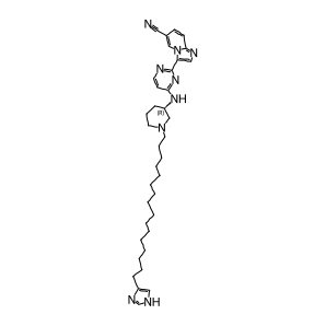 N#Cc1ccc2ncc(-c3nccc(N[C@@H]4CCCN(CCCCCCCCCCCCCCCCc5c[nH]cn5)C4)n3)n2c1